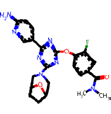 CN(C)C(=O)c1ccc(Oc2nc(-c3ccc(N)nc3)nc(N3CC4CCC(C3)O4)n2)c(F)c1